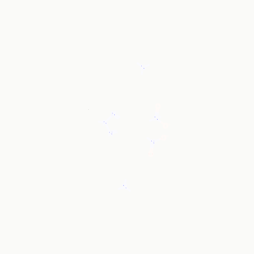 CC(C)(C)Cn1nc2c(-c3ccc(N(c4ccccc4)c4ccccc4)cc3)c([N+](=O)[O-])c([N+](=O)[O-])c(-c3ccc(N(c4ccccc4)c4ccccc4)cc3)c2n1